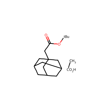 CC(=O)O.CC(C)(C)OC(=O)CC12CC3CC(CC(C3)C1)C2